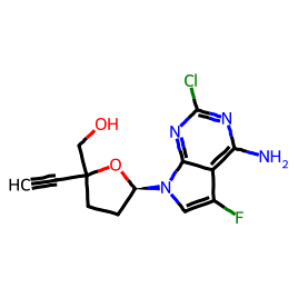 C#CC1(CO)CC[C@H](n2cc(F)c3c(N)nc(Cl)nc32)O1